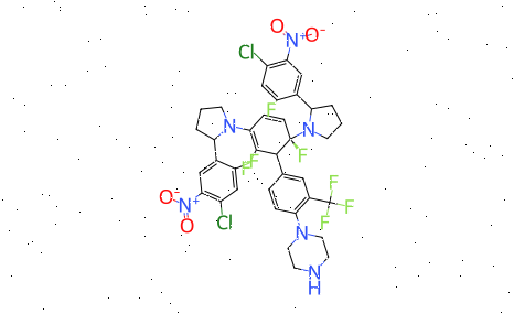 O=[N+]([O-])c1cc(C2CCCN2C2=C(F)C(c3ccc(N4CCNCC4)c(C(F)(F)F)c3)[C@@](F)(N3CCCC3c3cc([N+](=O)[O-])c(Cl)cc3F)C=C2)c(F)cc1Cl